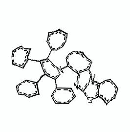 c1ccc(-c2c(-c3ccccc3)c(-c3ccccc3)n(-c3cccc4c3nc3sc5ccccc5n34)c2-c2ccccc2)cc1